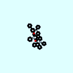 c1ccc(-c2cccc(N(c3ccccc3)c3ccc4c(c3)C3(c5cc(N(c6ccccc6)c6cc7ccccc7c7ccccc67)ccc5-4)c4ccccc4N(c4ccccc4)c4ccccc43)c2)cc1